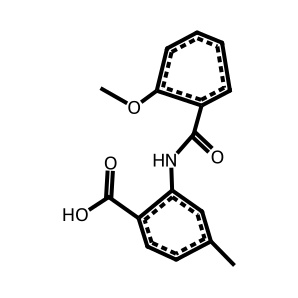 COc1ccccc1C(=O)Nc1cc(C)ccc1C(=O)O